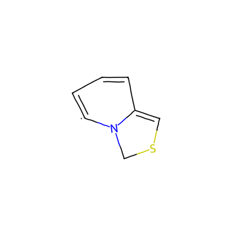 [C]1=CC=CC2=CSCN12